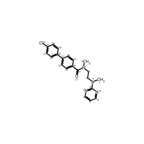 CN(CCN(C)c1ncccn1)C(=O)c1ccc(-c2ccc(Cl)cc2)cc1